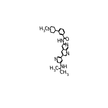 CC(C)Nc1cncc(-c2cnc3cnc(NC(=O)c4cccc(C5CCN(C)CC5)c4)cc3c2)c1